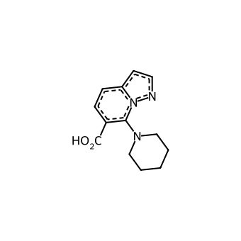 O=C(O)c1ccc2ccnn2c1N1CCCCC1